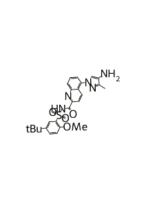 COc1ccc(C(C)(C)C)cc1S(=O)(=O)NC(=O)c1ccc2c(-n3cc(N)c(C)n3)cccc2n1